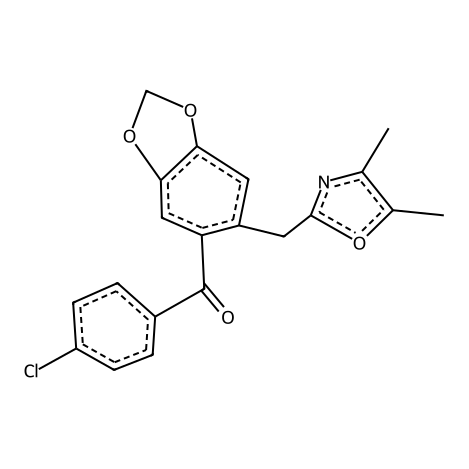 Cc1nc(Cc2cc3c(cc2C(=O)c2ccc(Cl)cc2)OCO3)oc1C